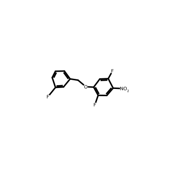 O=[N+]([O-])c1cc(F)c(OCc2cccc(F)c2)cc1F